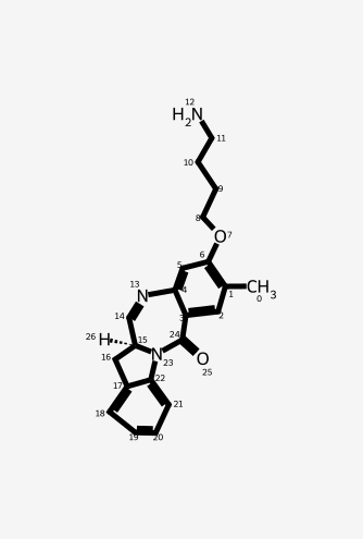 Cc1cc2c(cc1OCCCCN)N=C[C@@H]1Cc3ccccc3N1C2=O